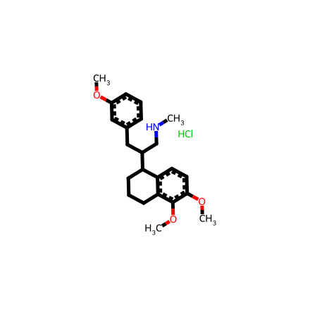 CNCC(Cc1cccc(OC)c1)C1CCCc2c1ccc(OC)c2OC.Cl